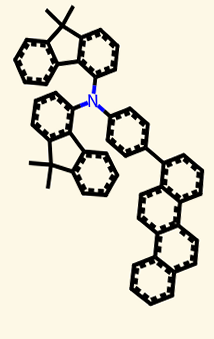 CC1(C)c2ccccc2-c2c(N(c3ccc(-c4cccc5c4ccc4c6ccccc6ccc54)cc3)c3cccc4c3-c3ccccc3C4(C)C)cccc21